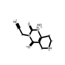 C#CCn1c(=O)[nH]c2c(c1=O)CNCC2.Cl